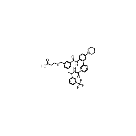 CC(NC(=O)c1ccnc(-c2cc(N3CCCCC3)ccc2NC(=O)c2cccc(CSCCC(=O)O)c2)c1)c1cccc(C(F)(F)F)c1